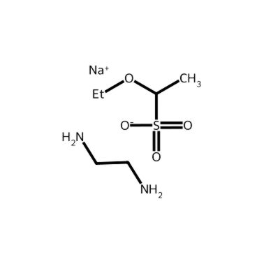 CCOC(C)S(=O)(=O)[O-].NCCN.[Na+]